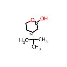 CC(C)(C)[C@@H]1CCOB(O)C1